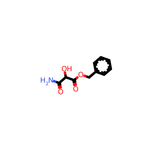 NC(=O)C(O)C(=O)OCc1ccccc1